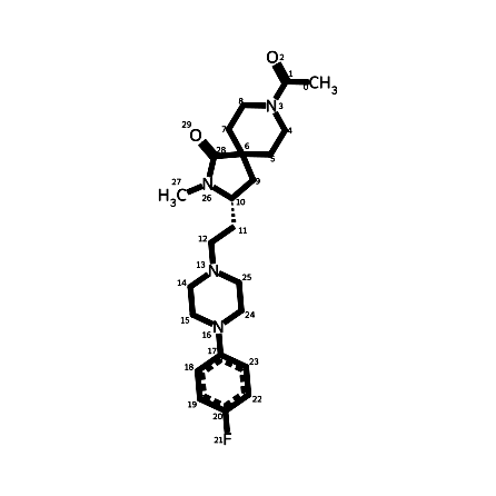 CC(=O)N1CCC2(CC1)C[C@H](CCN1CCN(c3ccc(F)cc3)CC1)N(C)C2=O